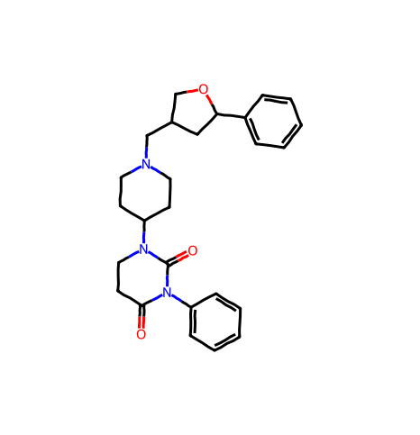 O=C1CCN(C2CCN(CC3COC(c4ccccc4)C3)CC2)C(=O)N1c1ccccc1